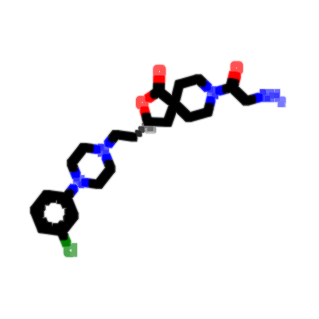 NCC(=O)N1CCC2(CC1)C[C@H](CCN1CCN(c3cccc(Cl)c3)CC1)OC2=O